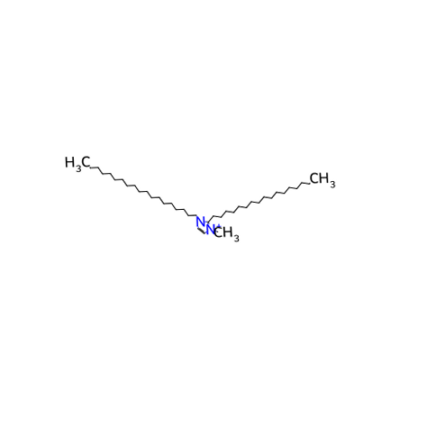 CCCCCCCCCCCCCCCCCCCn1cc[n+](C)c1CCCCCCCCCCCCCCCCC